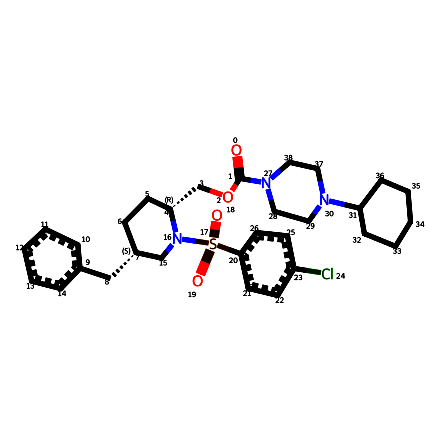 O=C(OC[C@H]1CC[C@@H](Cc2ccccc2)CN1S(=O)(=O)c1ccc(Cl)cc1)N1CCN(C2CCCCC2)CC1